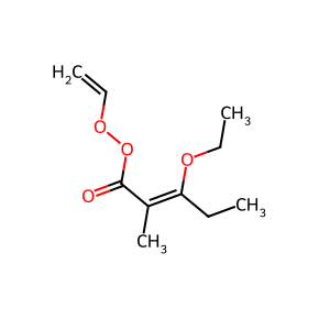 C=COOC(=O)C(C)=C(CC)OCC